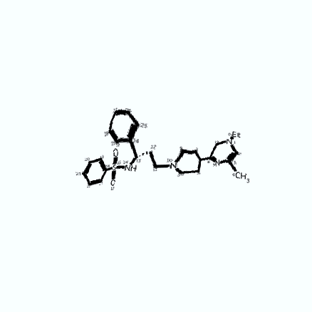 CCN1C=C(C)N=C(C2CCN(CC[C@H](NS(=O)(=O)c3ccccc3)c3ccccc3)CC2)C1